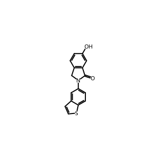 O=C1c2cc(O)ccc2CN1c1ccc2sccc2c1